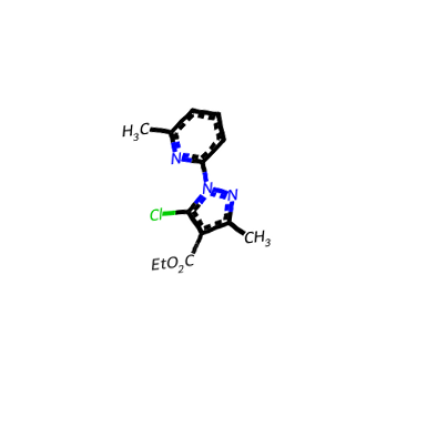 CCOC(=O)c1c(C)nn(-c2cccc(C)n2)c1Cl